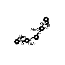 COc1cc2c(cc1OCc1cccc(COc3cc4c(cc3OC)C(=O)N3c5ccccc5C[C@H]3CN4)c1)N=C[C@@H]1Cc3ccccc3N1C2=O